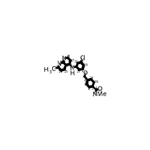 CNC(=O)c1ccc(COc2cc(Cl)cc(Nc3ccnc4nc(C)ccc34)c2)cc1